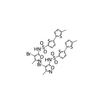 Cc1ccc(-c2ccc(S(=O)(=O)Nc3onc(C)c3Br)s2)s1.Cc1ccc(-c2ccc(S(=O)(=O)Nc3onc(C)c3Br)s2)s1